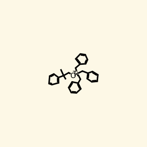 CC(C)(C[O][Ti]([CH2]c1ccccc1)([CH2]c1ccccc1)[CH2]c1ccccc1)c1ccccc1